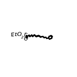 CCOC(=O)C(=O)CCCCCCCCCCCCc1ccccc1